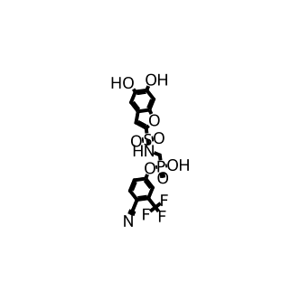 N#Cc1ccc(OP(=O)(O)CNS(=O)(=O)c2cc3cc(O)c(O)cc3o2)cc1C(F)(F)F